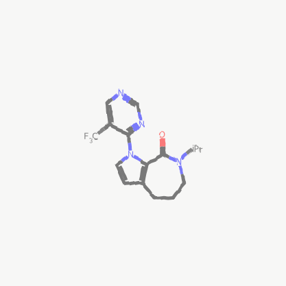 CC(C)N1CCCc2ccn(-c3ncncc3C(F)(F)F)c2C1=O